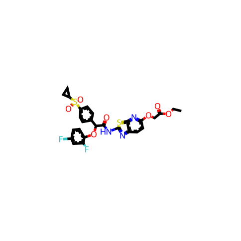 CCOC(=O)COc1ccc2nc(NC(=O)C(Oc3ccc(F)cc3F)c3ccc(S(=O)(=O)C4CC4)cc3)sc2n1